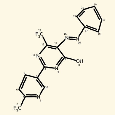 Oc1nc(-c2ccc(C(F)(F)F)nc2)nc(C(F)(F)F)c1/N=N/c1ccccc1